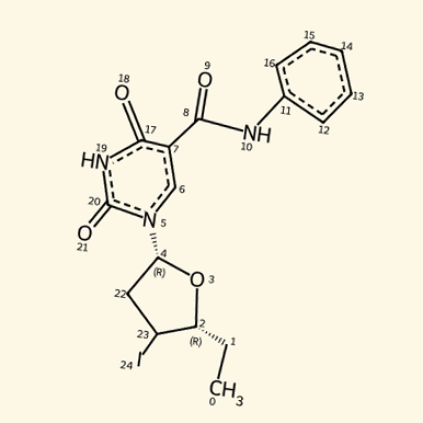 CC[C@H]1O[C@@H](n2cc(C(=O)Nc3ccccc3)c(=O)[nH]c2=O)CC1I